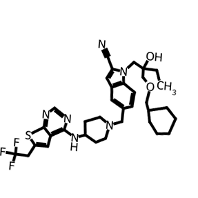 CCC(O)(COCC1CCCCC1)Cn1c(C#N)cc2cc(CN3CCC(Nc4ncnc5sc(CC(F)(F)F)cc45)CC3)ccc21